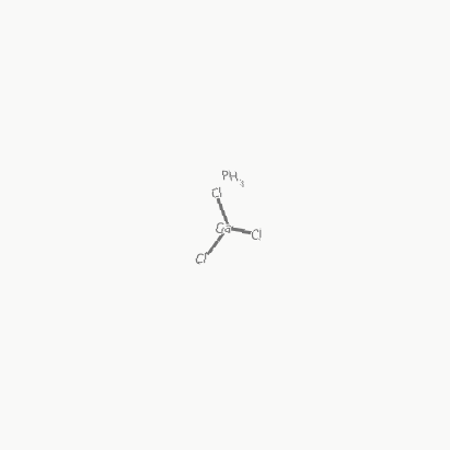 P.[Cl][Ga]([Cl])[Cl]